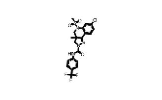 CC12CN(C(=O)Nc3ccc(C(F)(F)F)cc3)N=C1c1ccc(Cl)cc1N(S(C)(=O)=O)C2